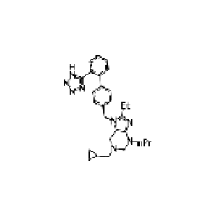 CCCN1CN(CC2CC2)Cc2c1nc(CC)n2Cc1ccc(-c2ccccc2-c2nnn[nH]2)cc1